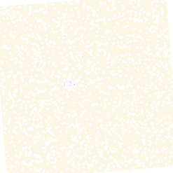 C=C(C)C(=C)Nc1cccc([SH](=O)=O)c1